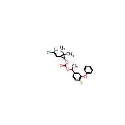 CC1(C)C(C=C(Cl)Cl)C1OC(=O)OC(C#N)c1ccc(F)c(Oc2ccccc2)c1